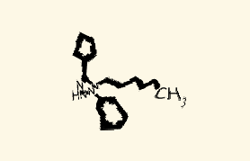 CCCCCCN1C(c2ccccc2)=NNN1c1ccccc1